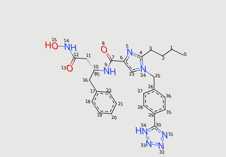 CCCCc1nc(C(=O)N[C@@H](CC(=O)NO)Cc2ccccc2)cn1Cc1ccc(-c2nnn[nH]2)cc1